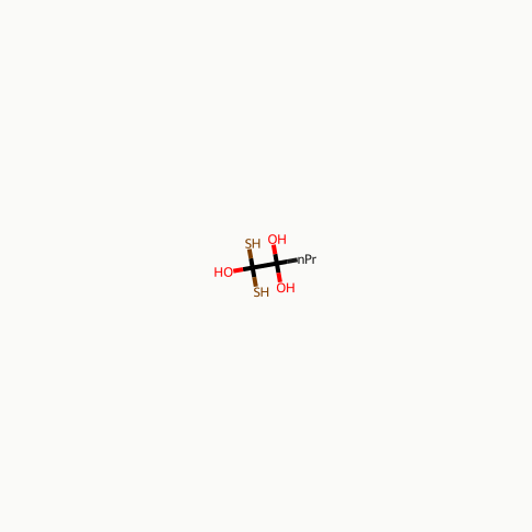 CCCC(O)(O)C(O)(S)S